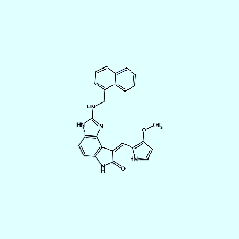 COc1cc[nH]c1C=C1C(=O)Nc2ccc3[nH]c(NCc4cccc5ccccc45)nc3c21